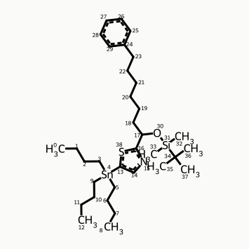 CCC[CH2][Sn]([CH2]CCC)([CH2]CCC)[c]1cnc(C(CCCCCCc2ccccc2)O[Si](C)(C)C(C)(C)C)s1